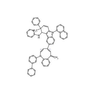 C=C1/C=C(c2ccc3c(c2)c2c(n3-c3cccc4ccccc34)C=CC(C)(c3ccccc3)C2Nc2ccccc2)\C=C/N(c2cccc(-c3ccccc3)c2)c2ccccc21